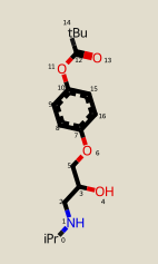 CC(C)NCC(O)COc1ccc(OC(=O)C(C)(C)C)cc1